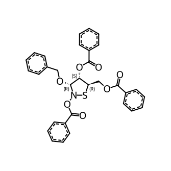 O=C(OC[C@H]1SN(OC(=O)c2ccccc2)[C@H](OCc2ccccc2)[C@@H]1OC(=O)c1ccccc1)c1ccccc1